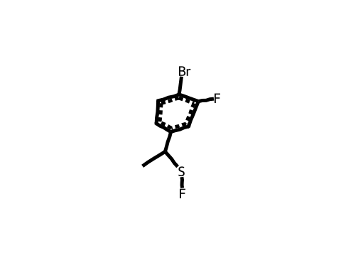 CC(SF)c1ccc(Br)c(F)c1